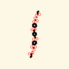 C=CC(=O)OCOC(=O)Oc1ccc(OC(=O)c2ccc(C(=O)Oc3ccc(OC(=O)OCOC(=O)C=C)cc3)cc2)cc1